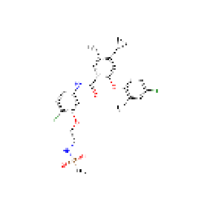 Cc1cc(F)ccc1Oc1cc(C2CC2)c(C(F)(F)F)cc1C(=O)Nc1ccc(F)c(OCCNS(C)(=O)=O)c1